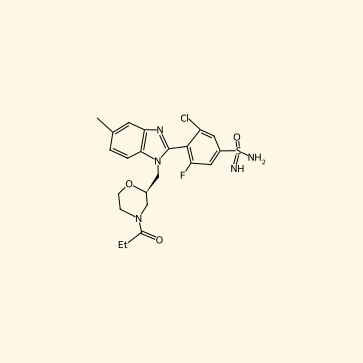 CCC(=O)N1CCO[C@@H](Cn2c(-c3c(F)cc(S(=N)(N)=O)cc3Cl)nc3cc(C)ccc32)C1